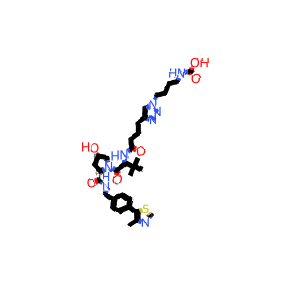 Cc1ncsc1-c1ccc(CNC(=O)[C@@H]2C[C@@H](O)CN2C(=O)C(NC(=O)CCCc2cn(CCCCNC(=O)O)nn2)C(C)(C)C)cc1